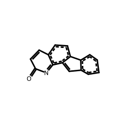 O=C1C=Cc2ccc3c(c2=N1)=Cc1ccccc1-3